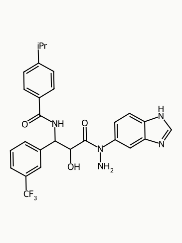 CC(C)c1ccc(C(=O)NC(c2cccc(C(F)(F)F)c2)C(O)C(=O)N(N)c2ccc3[nH]cnc3c2)cc1